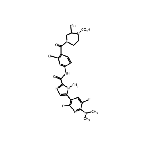 CN(C)c1nc(F)c(-c2cnc(C(=O)Nc3ccc(C(=O)N4CCN(C(=O)O)C(C(C)(C)C)C4)c(Cl)c3)n2C)cc1F